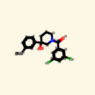 COc1cccc(C2(O)CCCN(C(=O)c3cc(F)cc(F)c3)C2)c1